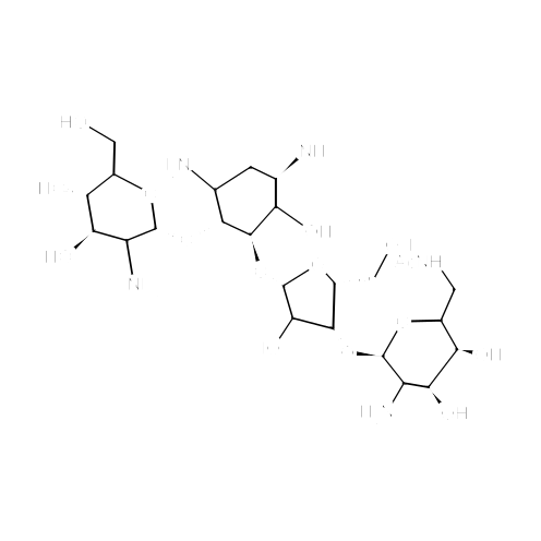 CC(=O)NCC1O[C@H](O[C@@H]2C(O)[C@H](O[C@@H]3C(O)[C@H](N)CC(N)[C@H]3O[C@H]3OC(CO)[C@@H](O)[C@H](O)C3N)O[C@@H]2CO)C(N)[C@H](O)[C@@H]1O